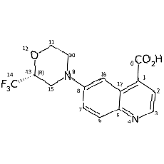 O=C(O)c1ccnc2ccc(N3CCO[C@@H](C(F)(F)F)C3)cc12